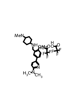 CNC1CCC(NCc2cc(-c3ccc(N(C)C)nc3)ccc2OC)CC1.O=C(O)C(F)(F)F.O=C(O)C(F)(F)F